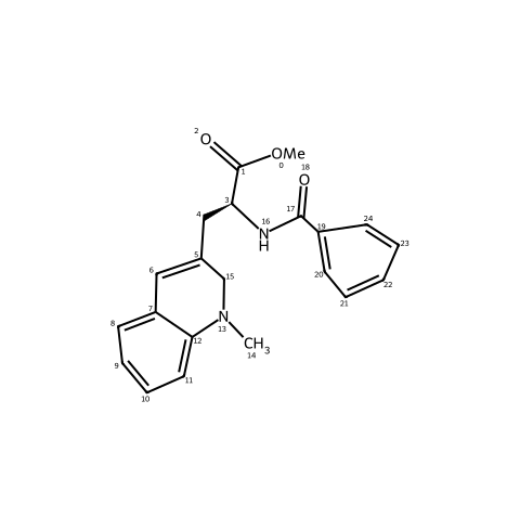 COC(=O)[C@H](CC1=Cc2ccccc2N(C)C1)NC(=O)c1ccccc1